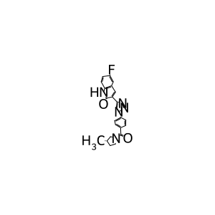 C[C@H]1CCN(C(=O)c2ccc(-n3cc(-c4cc5cc(F)ccc5[nH]c4=O)nn3)cc2)C1